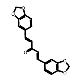 O=C(C=Cc1ccc2c(c1)OCO2)C=Cc1ccc2c(c1)OCO2